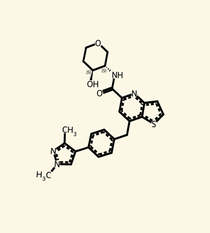 Cc1nn(C)cc1-c1ccc(Cc2cc(C(=O)N[C@H]3COCC[C@@H]3O)nc3ccsc23)cc1